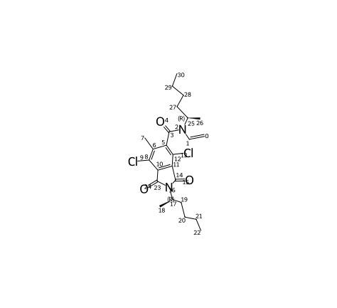 C=CN(C(=O)c1c(C)c(Cl)c2c(c1Cl)C(=O)N([C@H](C)CCCC)C2=O)[C@H](C)CCCC